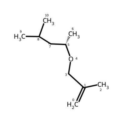 C=C(C)CO[C@@H](C)[CH]C(C)C